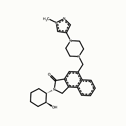 Cn1cc(N2CCN(Cc3cc4c(c5ccccc35)CN([C@H]3CCCC[C@@H]3O)C4=O)CC2)cn1